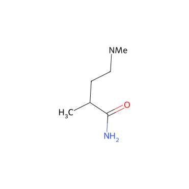 CNCCC(C)C(N)=O